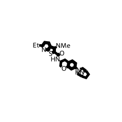 CCc1ccc2c(NC)c(C(=O)N[C@H]3COc4cc(N5CC6CCC(C5)N6)ccc4C3)sc2n1